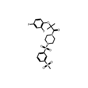 CC(C)(Oc1ccc(F)cc1F)C(=O)N1CCN(S(=O)(=O)c2cccc(S(C)(=O)=O)c2)CC1